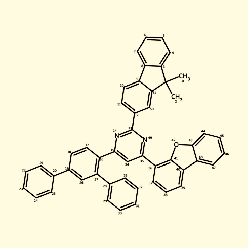 CC1(C)c2ccccc2-c2ccc(-c3nc(-c4ccc(-c5ccccc5)cc4-c4ccccc4)cc(-c4cccc5c4oc4ccccc45)n3)cc21